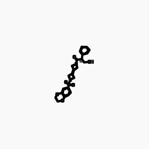 O=C([C@H](CO)c1ccccc1)N1CC(=C2CN(S(=O)(=O)c3ccc4c(c3)OCCO4)C2)C1